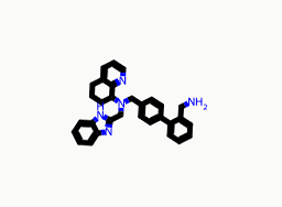 NCc1ccccc1-c1ccc(CN(Cc2nc3ccccc3[nH]2)C2CCCc3cccnc32)cc1